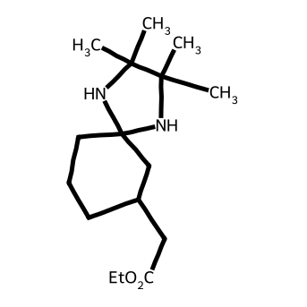 CCOC(=O)CC1CCCC2(C1)NC(C)(C)C(C)(C)N2